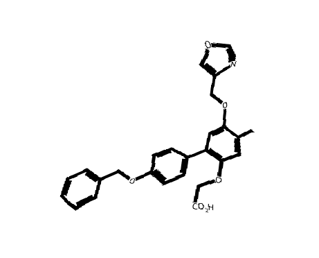 Cc1cc(OCC(=O)O)c(-c2ccc(OCc3ccccc3)cc2)cc1OCc1cocn1